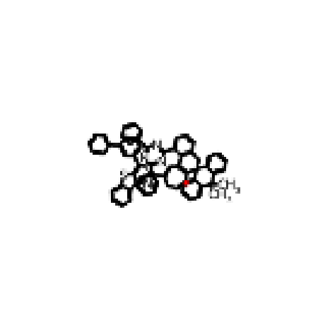 CC1(C)c2ccccc2C2(Cc3cccc(-c4nc(-c5ccccc5)nc(-c5ccccc5)n4)c3C3=C2C=CCC(c2nc(-c4cccc(-c5ccccc5)c4)c4sc5ccccc5c4n2)=C3)c2ccccc21